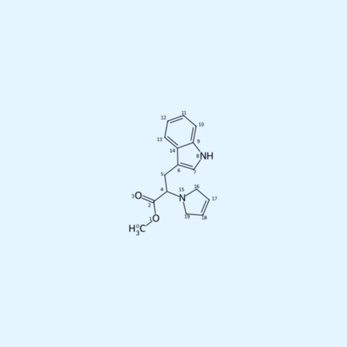 COC(=O)C(Cc1c[nH]c2ccccc12)N1CC=CC1